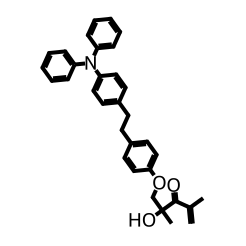 C=C(C)C(=O)C(C)(O)COc1ccc(CCc2ccc(N(c3ccccc3)c3ccccc3)cc2)cc1